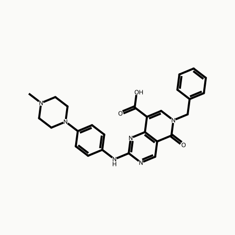 CN1CCN(c2ccc(Nc3ncc4c(=O)n(Cc5ccccc5)cc(C(=O)O)c4n3)cc2)CC1